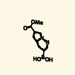 COC(=O)c1cc2cc(B(O)O)cnn2c1